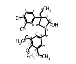 CCC1(c2ccc(Cl)c(Cl)c2)CC(O)N(Cc2cc(OC)c(OC)c(OC)c2)C1